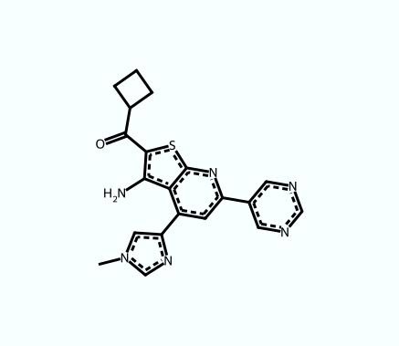 Cn1cnc(-c2cc(-c3cncnc3)nc3sc(C(=O)C4CCC4)c(N)c23)c1